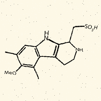 COc1c(C)cc2[nH]c3c(c2c1C)CCNC3CS(=O)(=O)O